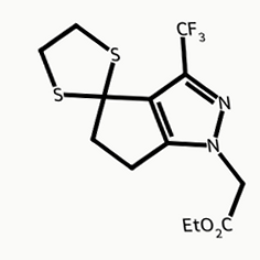 CCOC(=O)Cn1nc(C(F)(F)F)c2c1CCC21SCCS1